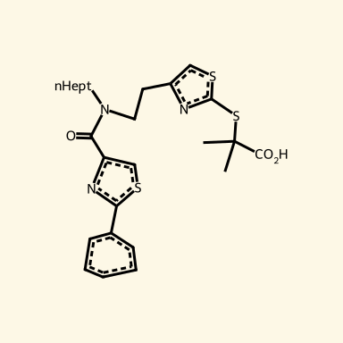 CCCCCCCN(CCc1csc(SC(C)(C)C(=O)O)n1)C(=O)c1csc(-c2ccccc2)n1